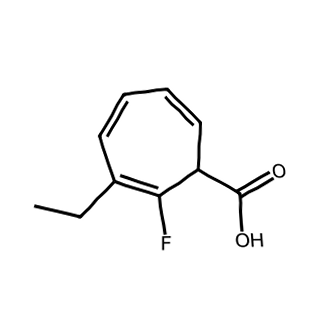 CCC1=C(F)C(C(=O)O)C=CC=C1